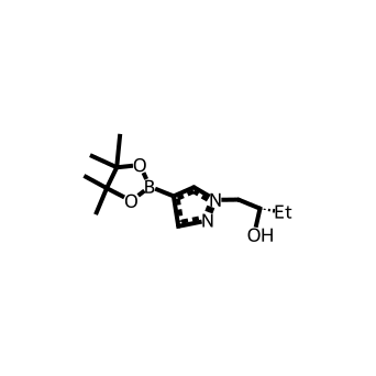 CC[C@H](O)Cn1cc(B2OC(C)(C)C(C)(C)O2)cn1